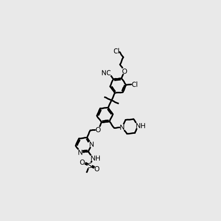 CC(C)(c1cc(Cl)c(OCCCl)c(C#N)c1)c1ccc(OCc2ccnc(NS(C)(=O)=O)n2)c(CN2CCNCC2)c1